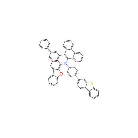 c1ccc(-c2cccc(-c3c(N(c4ccc(-c5ccc6c(c5)sc5ccccc56)cc4)c4cccc5c4oc4ccccc45)c4ccccc4c4ccccc34)c2)cc1